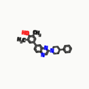 Cc1cc(-c2ccc3ncc(N4CCC(c5ccccc5)CC4)nc3c2)cc(C)c1O